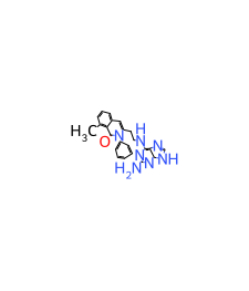 Cc1cccc2cc(CCNc3nc(N)nc4[nH]cnc34)n(-c3ccccc3)c(=O)c12